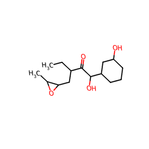 CCC(CC1OC1C)C(=O)C(O)C1CCCC(O)C1